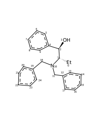 CC[C@@H]([C@H](O)c1ccccc1)N(Cc1ccccc1)Cc1ccccc1